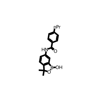 CCCc1ccc(C(=O)Nc2ccc3c(c2)B(O)OC3(C)C)cc1